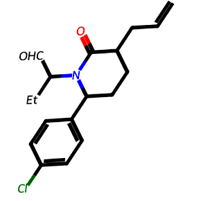 C=CCC1CCC(c2ccc(Cl)cc2)N(C(C=O)CC)C1=O